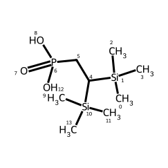 C[Si](C)(C)C(CP(=O)(O)O)[Si](C)(C)C